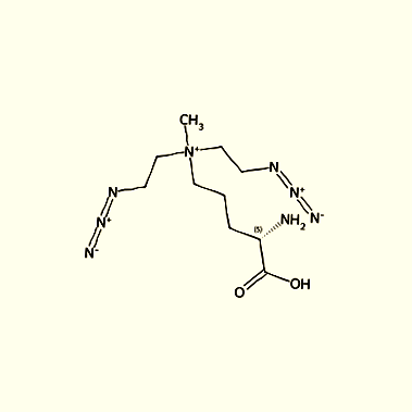 C[N+](CCC[C@H](N)C(=O)O)(CCN=[N+]=[N-])CCN=[N+]=[N-]